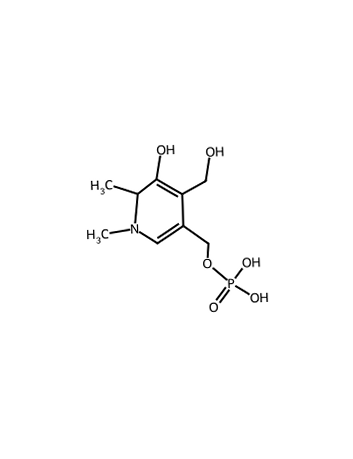 CC1C(O)=C(CO)C(COP(=O)(O)O)=CN1C